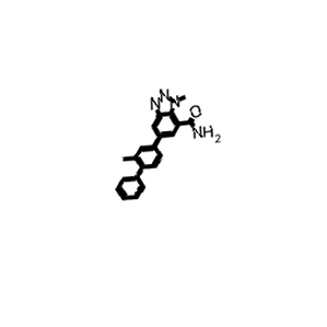 Cc1cc(-c2cc(C(N)=O)c3c(c2)nnn3C)ccc1-c1ccccc1